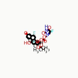 CC1(C)O[C@@H]2CC3C4C[C@H](F)C5=CC(=O)C=CC5(C)[C@@]4(F)[C@@H](O)CC3(C)[C@]2(C(=O)COC(=O)OCn2cc(F)c(=O)[nH]c2=O)O1